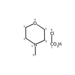 CN1CCOCC1.O=C(O)Cl